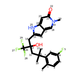 Cc1ccc(F)cc1C(C)(C)CC(O)(Cc1cc2cn(C)c(=O)cc2[nH]1)C(F)(F)F